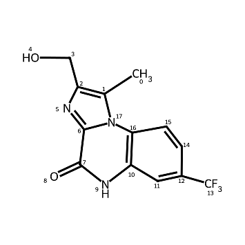 Cc1c(CO)nc2c(=O)[nH]c3cc(C(F)(F)F)ccc3n12